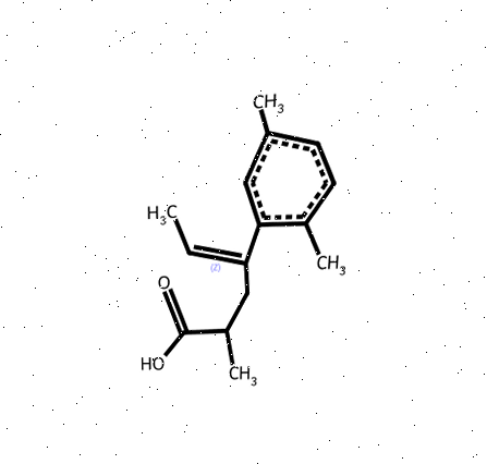 C/C=C(/CC(C)C(=O)O)c1cc(C)ccc1C